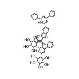 Oc1c(O)c(O)c(-c2cc(-c3c(O)c(O)c(O)c(O)c3O)c3c(c2)c2ccccc2n3-c2cccc3c2oc2ccc(C4=NC(c5ccccc5)=NC(c5ccccc5)N4)cc23)c(O)c1O